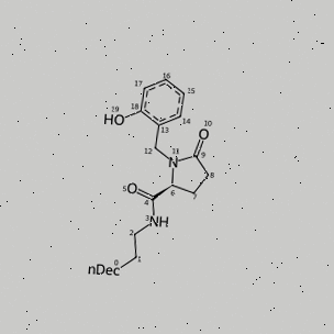 CCCCCCCCCCCCNC(=O)[C@@H]1CCC(=O)N1Cc1ccccc1O